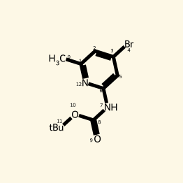 Cc1cc(Br)cc(NC(=O)OC(C)(C)C)n1